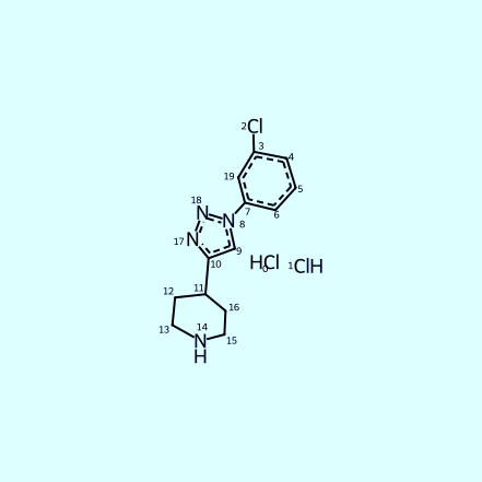 Cl.Cl.Clc1cccc(-n2cc(C3CCNCC3)nn2)c1